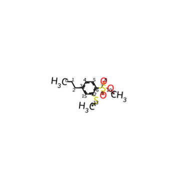 CCCc1ccc(S(=O)(=O)OC)c(SC)c1